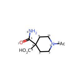 CC(=O)N1CCC(C(N)=O)(C(=O)O)CC1